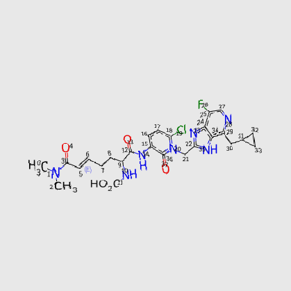 CN(C)C(=O)/C=C/CCC(NC(=O)O)C(=O)Nc1ccc(Cl)n(Cc2nc3c(F)cnc(CC4CC4)c3[nH]2)c1=O